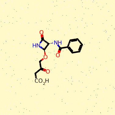 O=C(O)CC(=O)CO[C@H]1NC(=O)[C@@H]1NC(=O)c1ccccc1